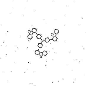 c1ccc2c(c1)oc1c(-c3ccc(N(c4ccc(-c5cccc6oc7ccccc7c56)cc4)c4ccc(-c5cccc6sc7ccccc7c56)cc4)cc3)cccc12